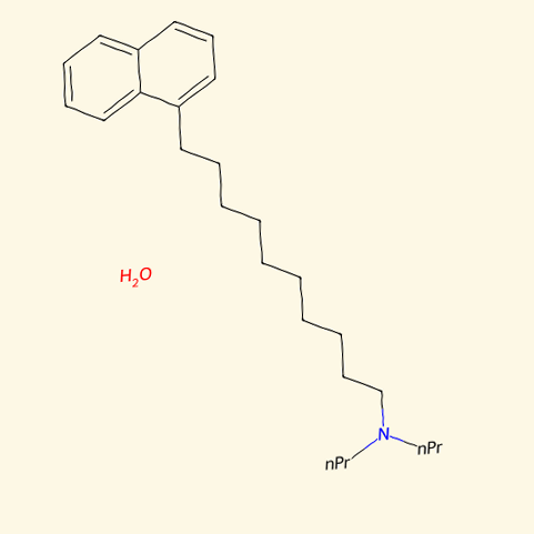 CCCN(CCC)CCCCCCCCCCc1cccc2ccccc12.O